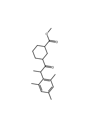 COC(=O)C1CCCC(C(=O)C(C)c2c(C)cc(C)cc2C)C1